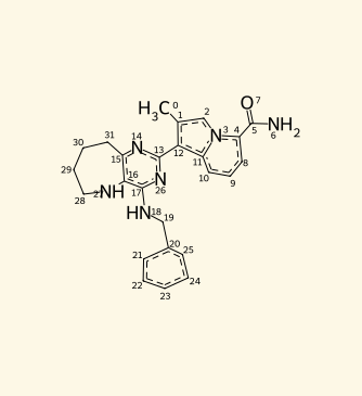 Cc1cn2c(C(N)=O)cccc2c1-c1nc2c(c(NCc3ccccc3)n1)NCCCC2